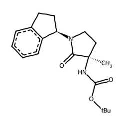 CC(C)(C)OC(=O)N[C@]1(C)CCN([C@@H]2CCc3ccccc32)C1=O